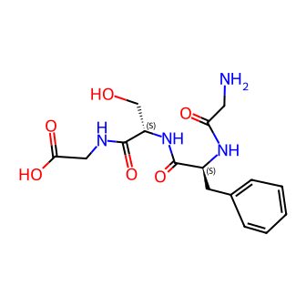 NCC(=O)N[C@@H](Cc1ccccc1)C(=O)N[C@@H](CO)C(=O)NCC(=O)O